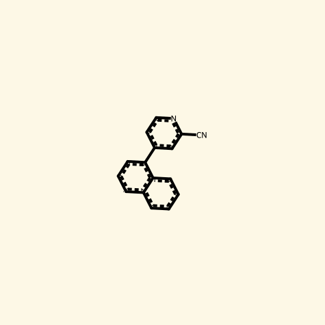 N#Cc1cc(-c2cc[c]c3ccccc23)ccn1